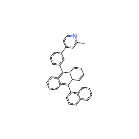 Cc1cc(-c2cccc(C3=c4ccccc4=C(c4cccc5ccccc45)C4C=CC=CC34)c2)ccn1